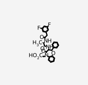 C[C@H](NC(=O)Cc1cc(F)cc(F)c1)C(=O)NC1C(=O)N(CC(=O)O)c2ccccc2OC1c1ccccc1